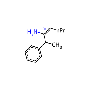 CCC/C=C(/N)C(C)c1ccccc1